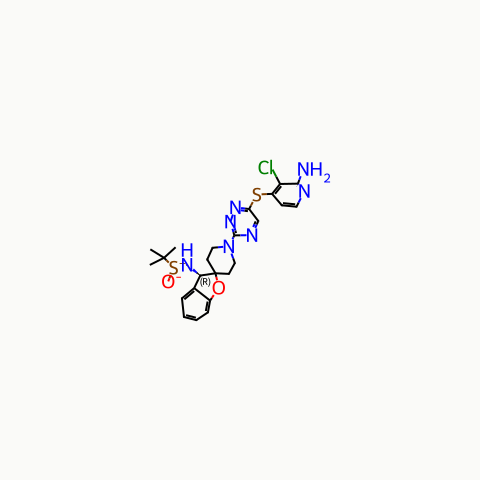 CC(C)(C)[S+]([O-])N[C@@H]1c2ccccc2OC12CCN(c1ncc(Sc3ccnc(N)c3Cl)nn1)CC2